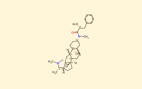 CC(=O)O[C@H](Cc1ccccc1)C(=O)N(C)[C@H]1CC[C@@]2(C)C(=CC[C@H]3[C@@H]4CC[C@@H]5[C@H](C)N(C)C[C@@]54CC[C@@H]32)C1